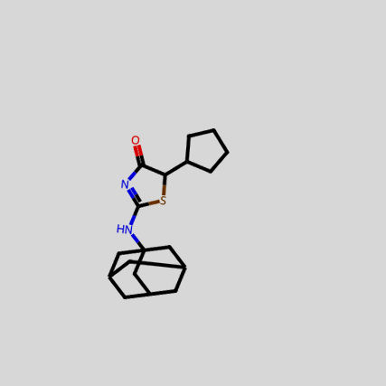 O=C1N=C(NC23CC4CC(CC(C4)C2)C3)SC1C1CCCC1